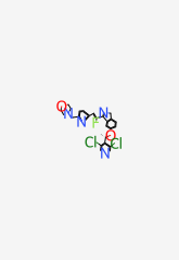 C[C@H](Oc1ccc2c(c1)C(/C(F)=C/c1ccc(CN3CCOCC3)nc1)=NC2)c1c(Cl)cncc1Cl